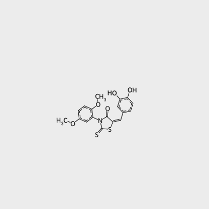 COc1ccc(OC)c(N2C(=O)/C(=C\c3ccc(O)c(O)c3)SC2=S)c1